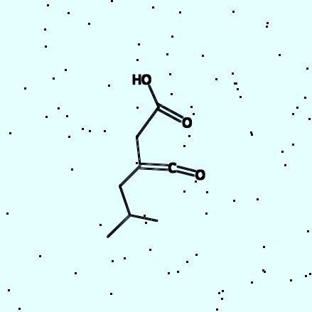 CC(C)CC(=C=O)CC(=O)O